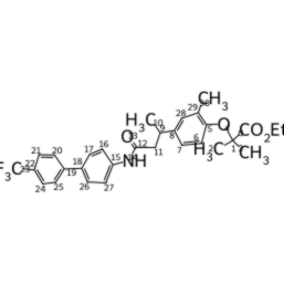 CCOC(=O)C(C)(C)Oc1ccc(C(C)CC(=O)Nc2ccc(-c3ccc(C(F)(F)F)cc3)cc2)cc1C